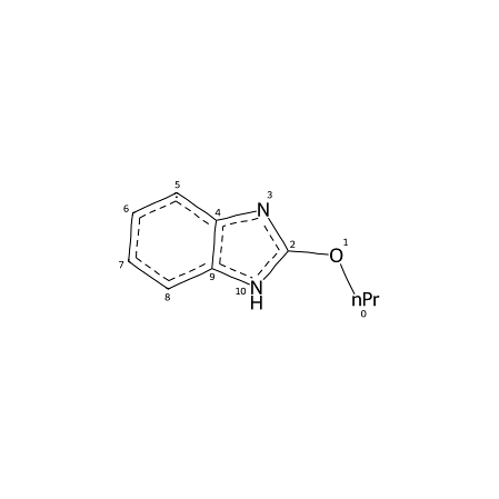 CCCOc1nc2[c]cccc2[nH]1